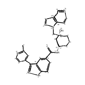 Cc1cc(-c2n[nH]c3ccc(C(=O)N[C@H]4CCC[C@](O)(Cn5ncc6cnccc65)C4)cc23)ccn1